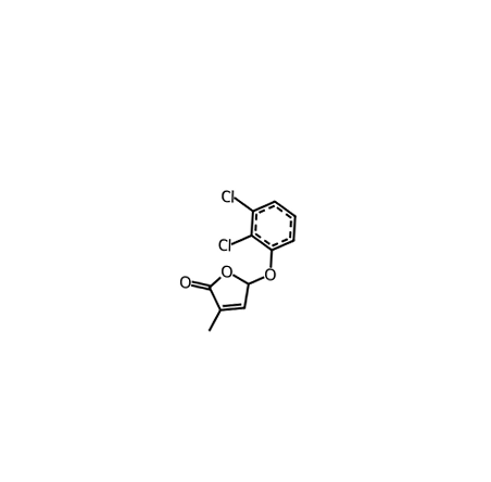 CC1=CC(Oc2cccc(Cl)c2Cl)OC1=O